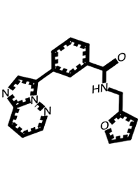 O=C(NCc1ccco1)c1cccc(-c2cnc3cccnn23)c1